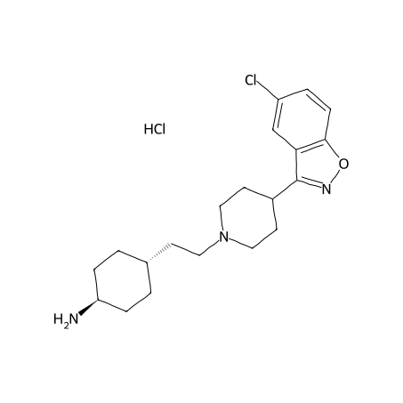 Cl.N[C@H]1CC[C@H](CCN2CCC(c3noc4ccc(Cl)cc34)CC2)CC1